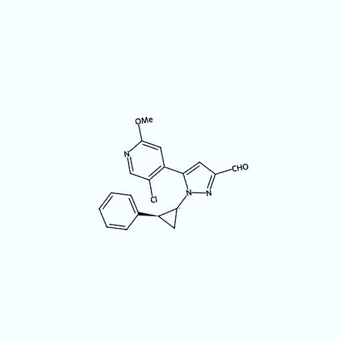 COc1cc(-c2cc(C=O)nn2[C]2C[C@H]2c2ccccc2)c(Cl)cn1